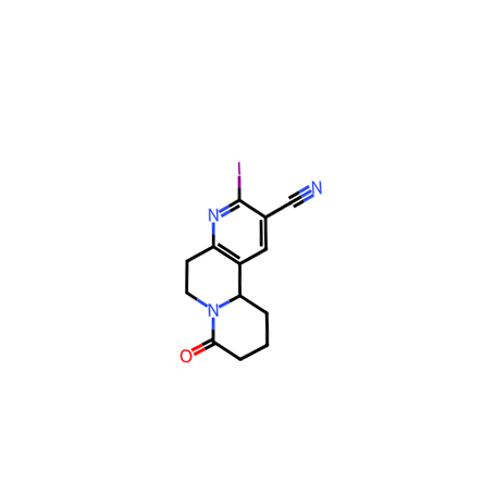 N#Cc1cc2c(nc1I)CCN1C(=O)CCCC21